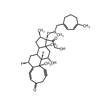 CC1=CC=C(CN(C)O[C@]2(C(=O)CO)[C@H](C)CC3C4C[C@H](F)C5=C=CC(=O)CC#CC5(C)[C@@]4(F)C(O)CC32C)CCC1